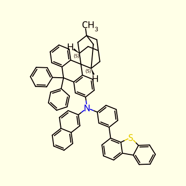 CC12CC3C[C@@H](C1)C1(c4ccccc4C(c4ccccc4)(c4ccccc4)c4cc(N(c5cccc(-c6cccc7c6sc6ccccc67)c5)c5ccc6ccccc6c5)ccc41)[C@@H](C3)C2